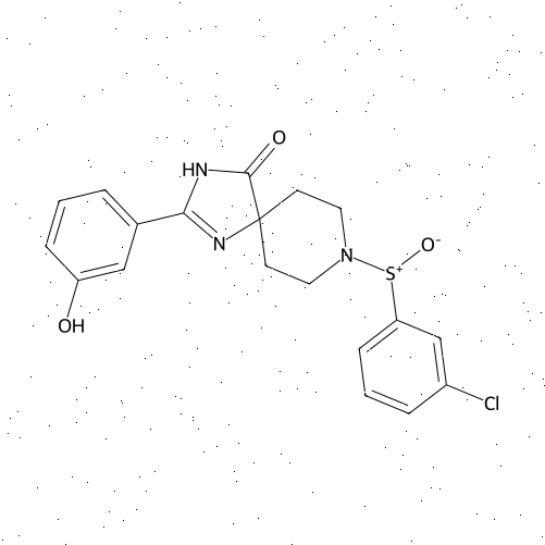 O=C1NC(c2cccc(O)c2)=NC12CCN([S+]([O-])c1cccc(Cl)c1)CC2